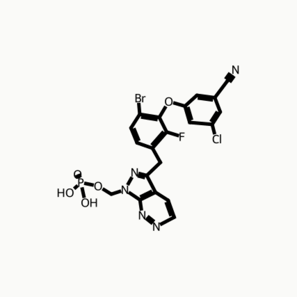 N#Cc1cc(Cl)cc(Oc2c(Br)ccc(Cc3nn(COP(=O)(O)O)c4nnccc34)c2F)c1